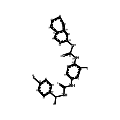 Cc1cc(NC(=S)NC(C)c2ccc(F)cc2)ccc1NC(=O)Oc1cc2ccccc2cn1